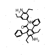 CCc1cc(NC(=O)c2c(-c3ccccc3)c(CC)c(N)c(CC)c2-c2ccccc2)cc(CC)c1N